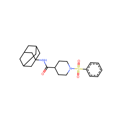 O=C(NC12CC3CC(CC(C3)C1)C2)C1CCN(S(=O)(=O)c2ccccc2)CC1